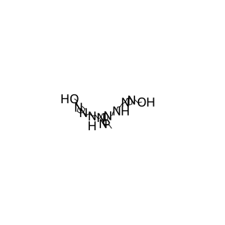 Cc1cnc2c(c1)N(CCNCCCN1CCN(CCO)CC1)CCN2CCNCCN1CCN(CCO)CC1